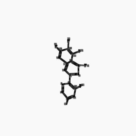 Cc1ccc(-c2cc(F)c3c(F)c(F)c(F)cc3c2)c(F)c1